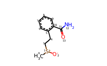 C[S+]([O-])CCc1ccccc1C(N)=O